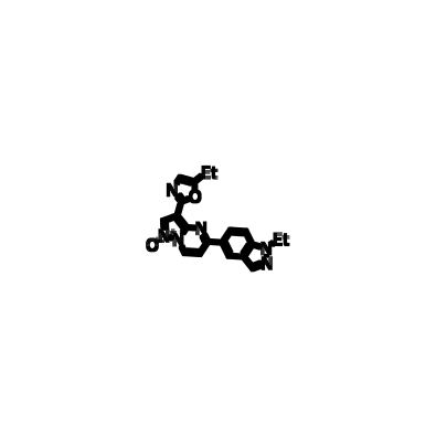 CCc1cnc(-c2c[n+]([O-])n3ccc(-c4ccc5c(cnn5CC)c4)nc23)o1